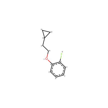 Fc1[c]cccc1OCCC1CC1